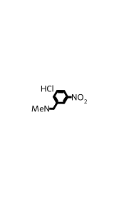 CNCc1cccc([N+](=O)[O-])c1.Cl